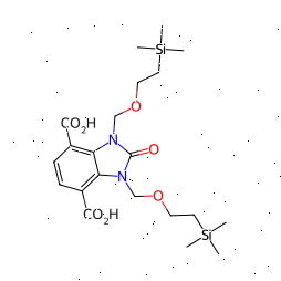 C[Si](C)(C)CCOCn1c(=O)n(COCC[Si](C)(C)C)c2c(C(=O)O)ccc(C(=O)O)c21